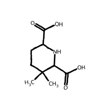 CC1(C)CCC(C(=O)O)NC1C(=O)O